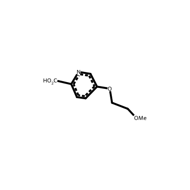 COCCOc1ccc(C(=O)O)nc1